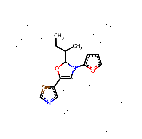 CCC(C)C1OC(c2cncs2)=[C]N1c1ccco1